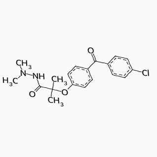 CN(C)NC(=O)C(C)(C)Oc1ccc(C(=O)c2ccc(Cl)cc2)cc1